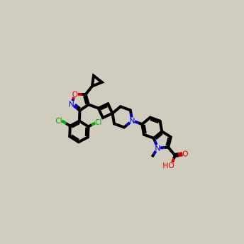 Cn1c(C(=O)O)cc2ccc(N3CCC4(C=C(c5c(-c6c(Cl)cccc6Cl)noc5C5CC5)C4)CC3)cc21